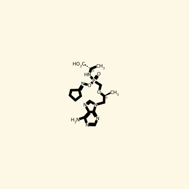 C[C@H](NP(=O)(CO[C@@H](C)Cn1cnc2c(N)ncnc21)ON=C1CCCC1)C(=O)O